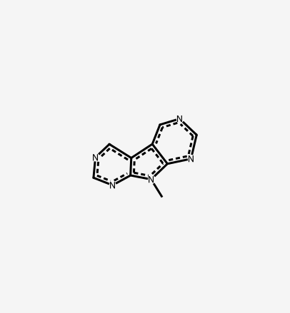 Cn1c2ncncc2c2cncnc21